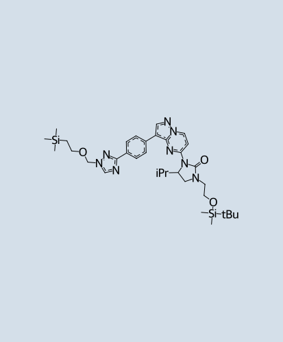 CC(C)C1CN(CCO[Si](C)(C)C(C)(C)C)C(=O)N1c1ccn2ncc(-c3ccc(-c4ncn(COCC[Si](C)(C)C)n4)cc3)c2n1